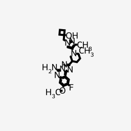 COc1cc2nc(N)n3nc(C4CCC(C)N(c5cn(CC6(O)CCC6)nc5C)C4)nc3c2cc1F